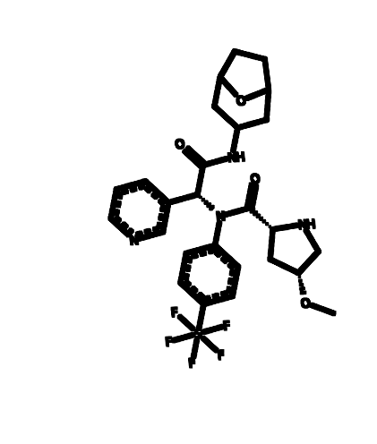 CO[C@H]1CN[C@@H](C(=O)N(c2ccc(S(F)(F)(F)(F)F)cc2)[C@@H](C(=O)NC2CC3CCC(C2)O3)c2cccnc2)C1